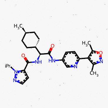 Cc1noc(C)c1-c1ccc(NC(=O)[C@@H](NC(=O)c2ccnn2C(C)C)[C@H]2CC[C@H](C)CC2)cn1